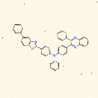 c1ccc(-c2ccc3oc(-c4ccc(N(c5ccccc5)c5ccc(-c6nc7ccccc7nc6-c6ccccc6)cc5)cc4)nc3c2)cc1